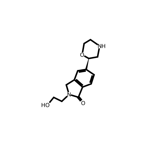 O=C1c2ccc([C@@H]3CNCCO3)cc2CN1CCO